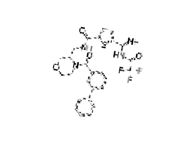 N=C(NC(=O)C(F)(F)F)c1ccc(C(=O)NCC2COCCN2C(=O)c2cccc(-c3ccccc3)c2)s1